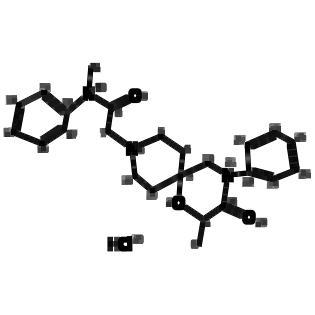 CC1OC2(CCN(CC(=O)N(C)c3ccccc3)CC2)CN(c2ccccc2)C1=O.Cl